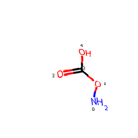 NOC(=O)O